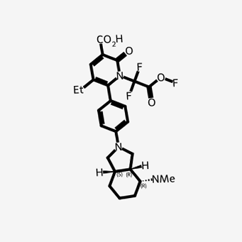 CCc1cc(C(=O)O)c(=O)n(C(F)(F)C(=O)OF)c1-c1ccc(N2C[C@H]3CCC[C@@H](NC)[C@H]3C2)cc1